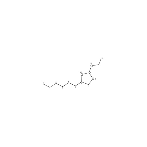 CCCCCCC1COC(OCC)O1